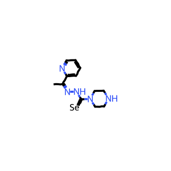 CC(=NNC(=[Se])N1CCNCC1)c1ccccn1